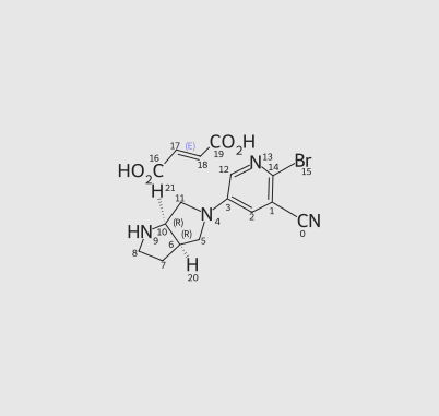 N#Cc1cc(N2C[C@H]3CCN[C@H]3C2)cnc1Br.O=C(O)/C=C/C(=O)O